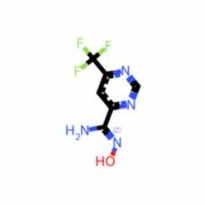 N/C(=N\O)c1cc(C(F)(F)F)ncn1